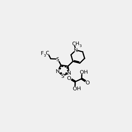 CN1CCC=C(c2nsnc2SCC(F)(F)F)C1.O=C(O)C(=O)O